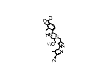 Cc1cc(-n2cc(CN3CC(c4ccc5c(c4C)COC5=O)NCC3CO)cn2)ncc1C#N